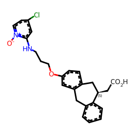 O=C(O)C[C@@H]1Cc2ccc(OCCCNc3cc(Cl)cc[n+]3[O-])cc2Cc2ccccc21